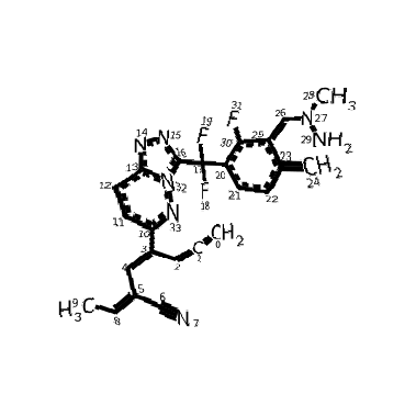 C=C=C/C(=C\C(C#N)=C/C)c1ccc2nnc(C(F)(F)c3ccc(=C)/c(=C\N(C)N)c3F)n2n1